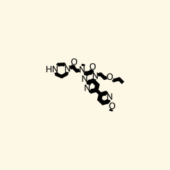 CCCOCCn1c(=O)c(N(C)CC(=O)N2CCCNCC2)nc2ncc(-c3ccc(OC)nc3)cc21